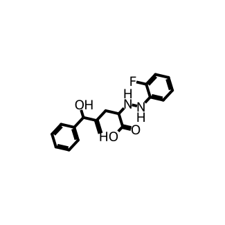 C=C(CC(NNc1ccccc1F)C(=O)O)C(O)c1ccccc1